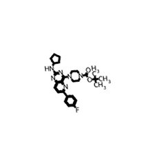 CC(C)(C)OC(=O)N1CCN(c2nc(NC3CCCC3)nc3ccc(-c4ccc(F)cc4)nc23)CC1